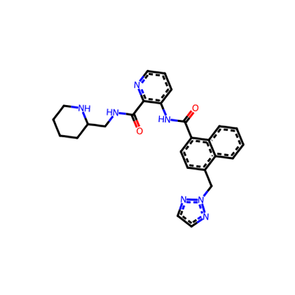 O=C(NCC1CCCCN1)c1ncccc1NC(=O)c1ccc(Cn2nccn2)c2ccccc12